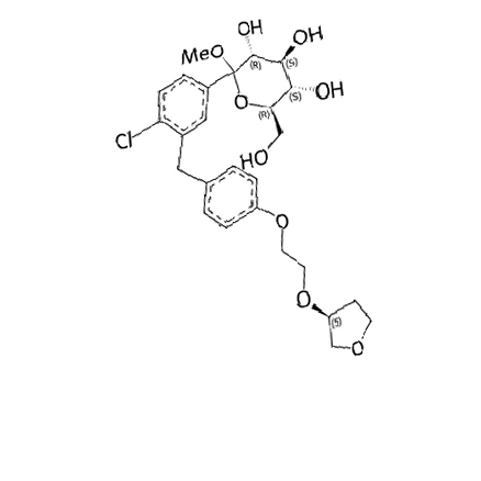 COC1(c2ccc(Cl)c(Cc3ccc(OCCO[C@H]4CCOC4)cc3)c2)O[C@H](CO)[C@@H](O)[C@H](O)[C@H]1O